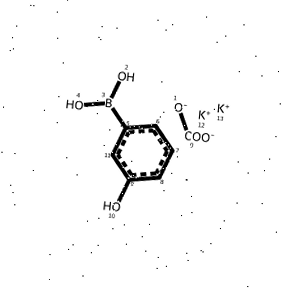 O=C([O-])[O-].OB(O)c1cccc(O)c1.[K+].[K+]